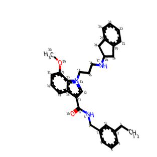 CCc1cccc(CNC(=O)c2cn(CCCNC3Cc4ccccc4C3)c3c(OC)cccc23)c1